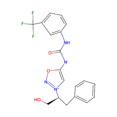 O=C([N-]c1c[n+]([C@H](CO)Cc2ccccc2)no1)Nc1cccc(C(F)(F)F)c1